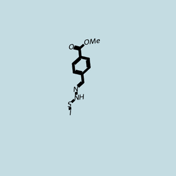 COC(=O)c1ccc(/C=N/NSI)cc1